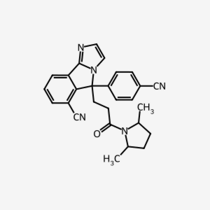 CC1CCC(C)N1C(=O)CCC1(c2ccc(C#N)cc2)c2c(C#N)cccc2-c2nccn21